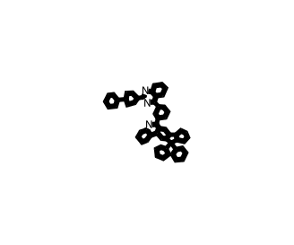 c1ccc(-c2ccc(-c3nc(-c4cccc(-c5nc6ccccc6c6cc7c(cc56)-c5ccccc5C7(c5ccccc5)c5ccccc5)c4)c4ccccc4n3)cc2)cc1